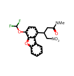 CNC(=O)CC(C[N+](=O)[O-])c1ccc(OC(F)F)c2oc3ccccc3c12